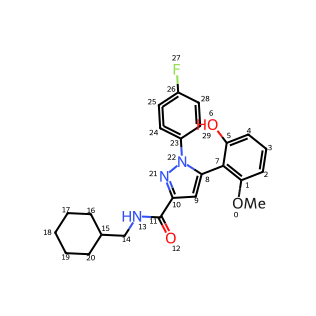 COc1cccc(O)c1-c1cc(C(=O)NCC2CCCCC2)nn1C1=C=C=C(F)C=C1